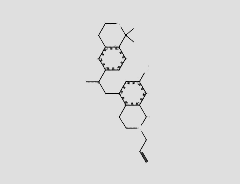 C=CCN1CCc2c(CC(C)c3ccc4c(c3)CCNC4(F)F)cc(S)cc2C1